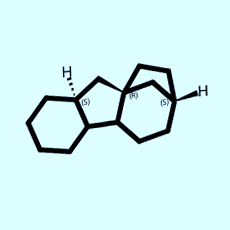 C1CC[C@H]2C[C@]34CC[C@H](CCC3C2C1)C4